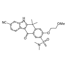 C=S(=O)(c1cc2c(cc1OCCOC)C(C)(C)c1[nH]c3cc(C#N)ccc3c1C2=O)N(C)C